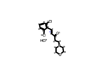 Cl.O=C(/C=C/c1c(Cl)cccc1Cl)CCN1CCOCC1